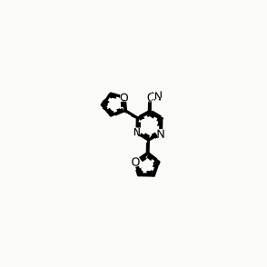 N#Cc1cnc(-c2ccco2)nc1-c1ccco1